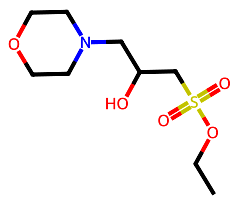 CCOS(=O)(=O)CC(O)CN1CCOCC1